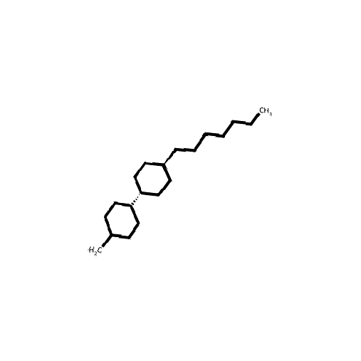 [CH2]C1CCC([C@H]2CC[C@H](CCCCCCC)CC2)CC1